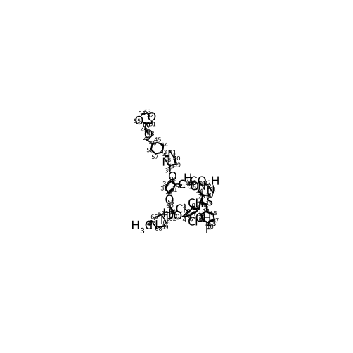 Cc1c(Cl)c2c(Cl)c(C)c1-c1c(-c3ccc(F)cc3)sc3ncnc(c13)O[C@@H](C(=O)O)Cc1cc(ccc1OCc1ccnc([C@H]3CC[C@H](COC[C@@H]4COCCO4)CC3)n1)OC[C@@H](CN1CCN(C)CC1)O2